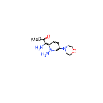 COC(=O)/C(N)=C1\C=CC(N2CCOCC2)=CN1N